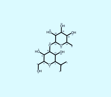 CC(C)C1OC(CO)C(O)C(OC2OC(C)C(O)C(O)C2O)C1O